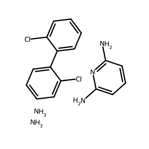 Clc1ccccc1-c1ccccc1Cl.N.N.Nc1cccc(N)n1